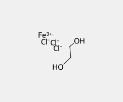 OCCO.[Cl-].[Cl-].[Cl-].[Fe+3]